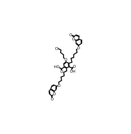 O=C(O)c1cc(OCCCCCl)c(CCCCCCOc2ccc3ccc(=O)oc3c2)c(C(=O)O)c1CCCCCCOc1ccc2ccc(=O)oc2c1